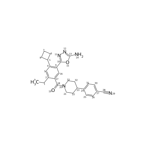 CCc1cc(C2CCC2)c(-c2nnc(N)o2)cc1C(=O)N1CCC(c2ccc(C#N)cc2)CC1